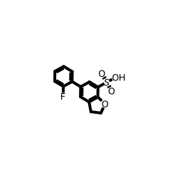 O=S(=O)(O)c1cc(-c2ccccc2F)cc2c1OCC2